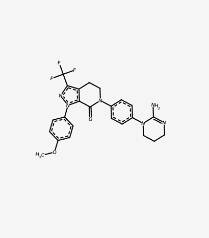 COc1ccc(-n2nc(C(F)(F)F)c3c2C(=O)N(c2ccc(N4CCCN=C4N)cc2)CC3)cc1